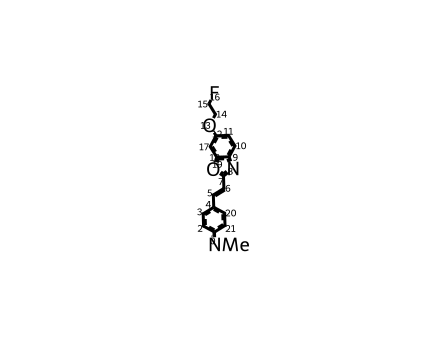 CNc1ccc(C=Cc2nc3ccc(OCCF)cc3o2)cc1